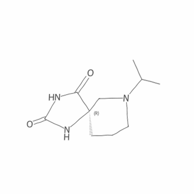 CC(C)N1CCC[C@]2(C1)NC(=O)NC2=O